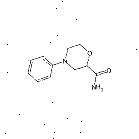 NC(=O)C1CN(c2c[c]ccc2)CCO1